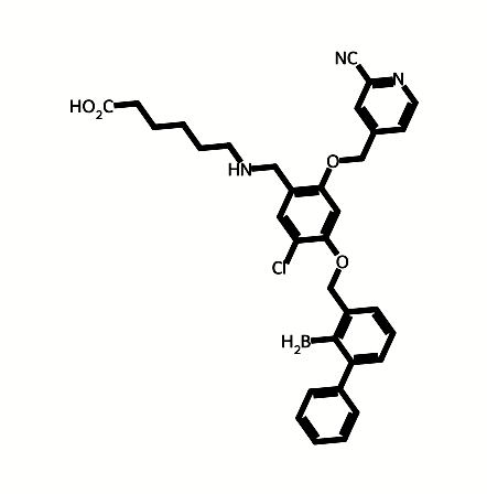 Bc1c(COc2cc(OCc3ccnc(C#N)c3)c(CNCCCCCC(=O)O)cc2Cl)cccc1-c1ccccc1